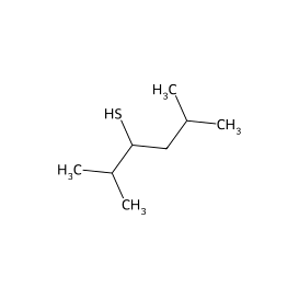 CC(C)CC(S)C(C)C